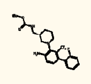 CC(C)(C)OC(=O)NC[C@@H]1CCCN(c2c(N)ccc(-c3ccccc3F)c2C(F)(F)F)C1